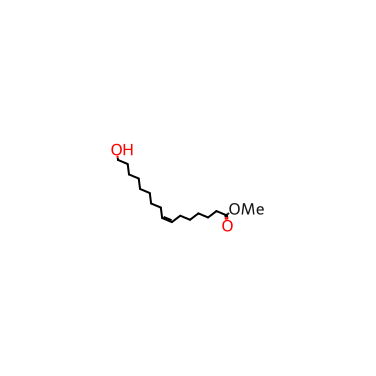 COC(=O)CCCCC/C=C\CCCCCCCCO